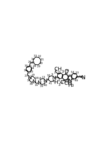 CCc1cc2c(cc1N1CCC(N3CCN(CN4CCN(Cc5ccc(CC6CCCCCCC6)cc5)CC4)CC3)CC1)C(C)(C)c1[nH]c3cc(C#N)ccc3c1C2=O